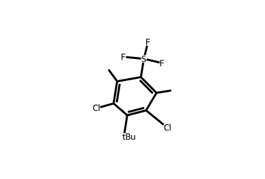 Cc1c(Cl)c(C(C)(C)C)c(Cl)c(C)c1S(F)(F)F